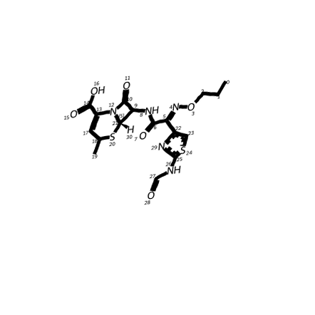 CCCON=C(C(=O)NC1C(=O)N2C(C(=O)O)=CC(C)S[C@@H]12)c1csc(NC=O)n1